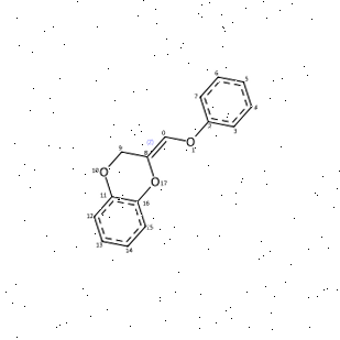 C(/Oc1ccccc1)=C1\COc2ccccc2O1